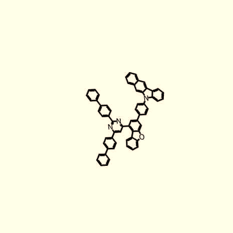 c1ccc(-c2ccc(-c3cc(-c4cc(-c5ccc(-n6c7ccccc7c7cc8ccccc8cc76)cc5)cc5oc6ccccc6c45)nc(-c4ccc(-c5ccccc5)cc4)n3)cc2)cc1